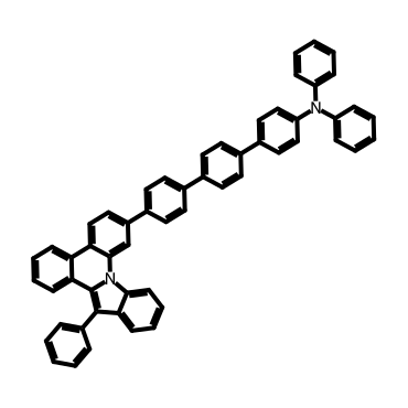 c1ccc(-c2c3ccccc3n3c4cc(-c5ccc(-c6ccc(-c7ccc(N(c8ccccc8)c8ccccc8)cc7)cc6)cc5)ccc4c4ccccc4c23)cc1